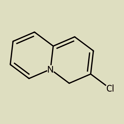 ClC1=CC=C2C=CC=CN2C1